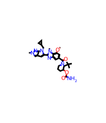 COc1cc(C(=O)N2CCCC(OC(N)=O)C2C(C)(C)C)cc2nc(-c3cc4cn(C)nc4n3CC3CC3)n(C)c12